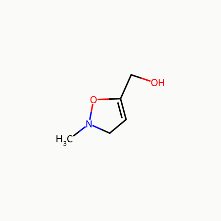 CN1CC=C(CO)O1